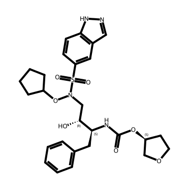 O=C(N[C@@H](Cc1ccccc1)[C@H](O)CN(OC1CCCC1)S(=O)(=O)c1ccc2[nH]ncc2c1)O[C@H]1CCOC1